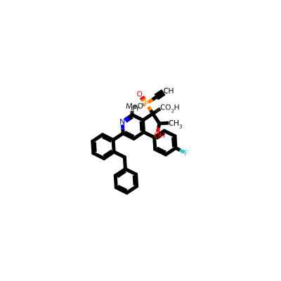 C#CP(=O)(OC)C(C(=O)O)(c1c(-c2ccc(F)cc2)cc(-c2ccccc2Cc2ccccc2)nc1C(C)C)C(C)O